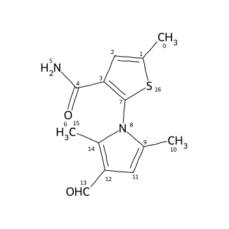 Cc1cc(C(N)=O)c(-n2c(C)cc(C=O)c2C)s1